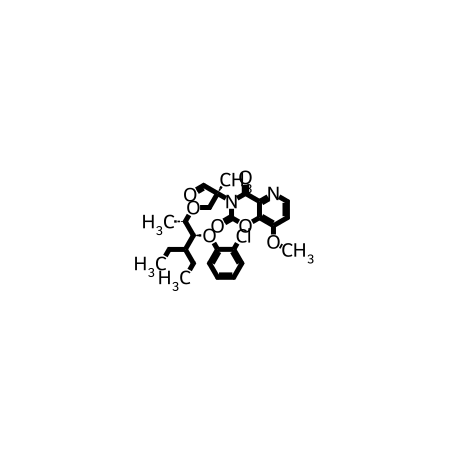 CCC(CC)[C@@H](Oc1ccccc1Cl)[C@H](C)OC[C@@](C)(C=O)n1c(=O)oc2c(OC)ccnc2c1=O